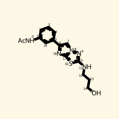 CC(=O)Nc1cccc(-c2cn3nc(NCCCO)sc3n2)c1